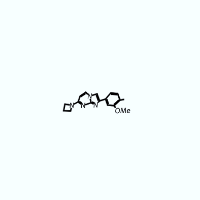 COc1cc(-c2cn3ccc(N4CCC4)nc3n2)ccc1C